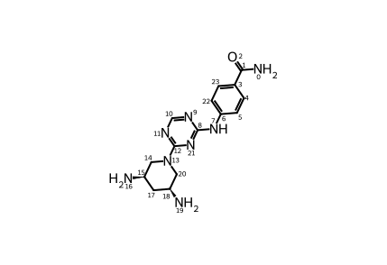 NC(=O)c1ccc(Nc2ncnc(N3C[C@H](N)C[C@H](N)C3)n2)cc1